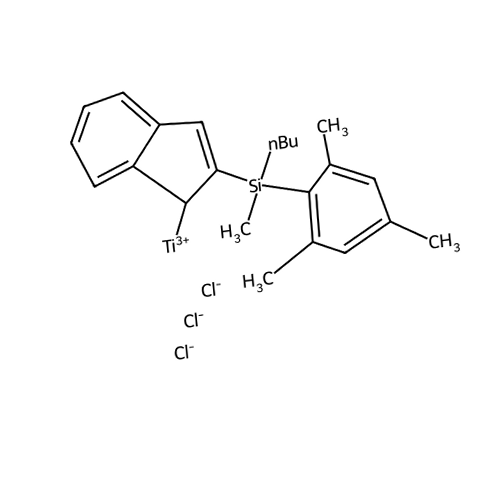 CCCC[Si](C)(C1=Cc2ccccc2[CH]1[Ti+3])c1c(C)cc(C)cc1C.[Cl-].[Cl-].[Cl-]